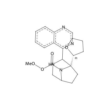 COOC(=O)N1C2CCC1([C@H]1CCCO1)C(c1ncnc3ccccc13)NC2